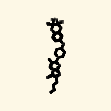 [2H]C1([2H])Oc2ccc(OC3CCN(c4nc5nn(CCOC)c(=O)n5cc4C)CC3)cc2OC1([2H])[2H]